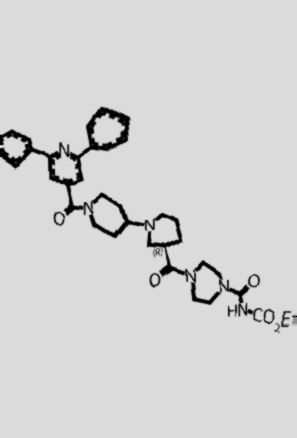 CCOC(=O)NC(=O)N1CCN(C(=O)[C@@H]2CCCN(C3CCN(C(=O)c4cc(-c5ccccc5)nc(-c5ccccc5)c4)CC3)C2)CC1